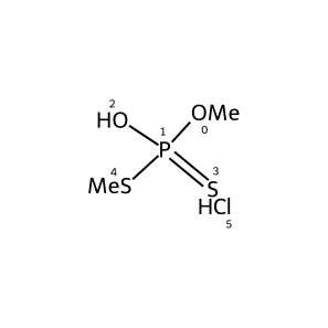 COP(O)(=S)SC.Cl